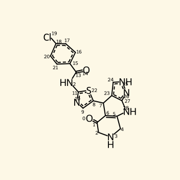 O=C1CNCC2=C1C(c1cnc(NC(=O)c3ccc(Cl)cc3)s1)c1c[nH]nc1N2